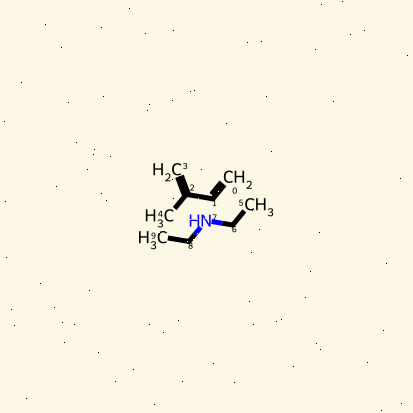 C=CC(=C)C.CCNCC